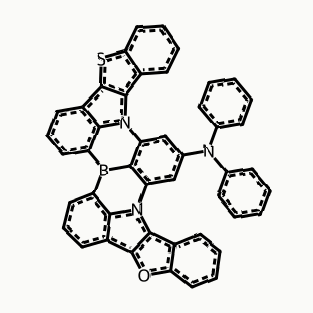 c1ccc(N(c2ccccc2)c2cc3c4c(c2)-n2c5c(cccc5c5sc6ccccc6c52)B4c2cccc4c5oc6ccccc6c5n-3c24)cc1